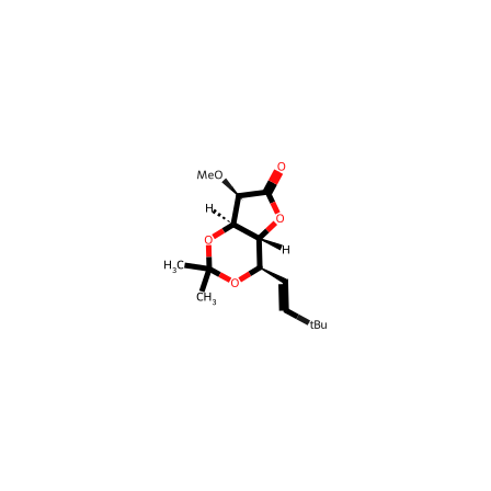 CO[C@H]1C(=O)O[C@H]2[C@H]1OC(C)(C)O[C@@H]2/C=C/C(C)(C)C